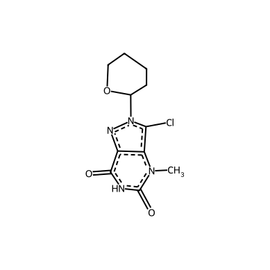 Cn1c(=O)[nH]c(=O)c2nn(C3CCCCO3)c(Cl)c21